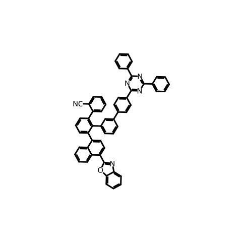 N#Cc1ccccc1-c1cccc(-c2ccc(-c3nc4ccccc4o3)c3ccccc23)c1-c1cccc(-c2ccc(-c3nc(-c4ccccc4)nc(-c4ccccc4)n3)cc2)c1